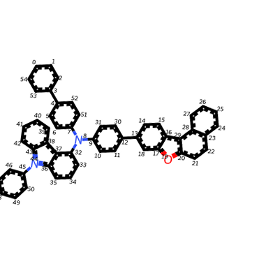 c1ccc(-c2ccc(N(c3ccc(-c4ccc5c(c4)oc4ccc6ccccc6c45)cc3)c3cccc4c3c3ccccc3n4-c3ccccc3)cc2)cc1